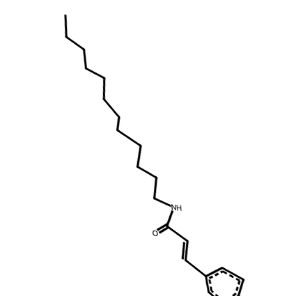 CCCCCCCCCCCCNC(=O)C=Cc1ccc(O)cc1